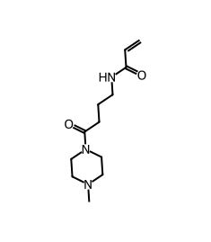 C=CC(=O)NCCCC(=O)N1CCN(C)CC1